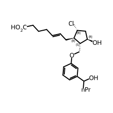 CCCC(O)c1cccc(OC[C@@H]2[C@@H](CC=CCCCC(=O)O)[C@H](Cl)C[C@H]2O)c1